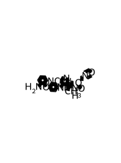 Cc1c(NC(=O)OCCN2CCOCC2)cn2ncc(C#N)c(Nc3ccc(Oc4ccccc4N)cc3)c12